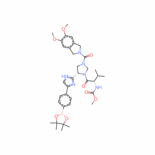 COC(=O)N[C@H](C(=O)N1CN(C(=O)N2Cc3cc(OC)c(OC)cc3C2)C[C@H]1c1nc(-c2ccc(B3OC(C)(C)C(C)(C)O3)cc2)c[nH]1)C(C)C